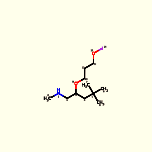 CNCC(CC(C)(C)C)OCCCOI